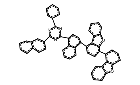 c1ccc(-c2nc(-c3ccc4ccccc4c3)nc(-c3ccc(-c4ccc(-c5cccc6oc7ccccc7c56)c5oc6ccccc6c45)c4ccccc34)n2)cc1